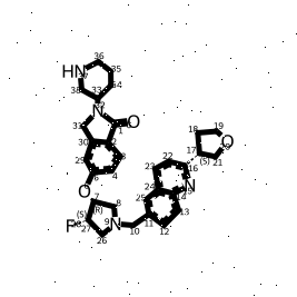 O=C1c2ccc(O[C@@H]3CN(Cc4ccc5nc([C@@H]6CCOC6)ccc5c4)C[C@@H]3F)cc2CN1C1CCCNC1